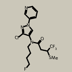 CSC(CC(=O)N(CCCCF)c1cn(-c2cccnc2)nc1Cl)C(F)(F)F